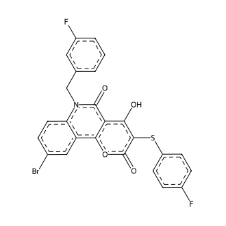 O=c1oc2c(c(O)c1Sc1ccc(F)cc1)c(=O)n(Cc1cccc(F)c1)c1ccc(Br)cc21